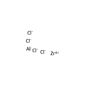 [Al].[Cl-].[Cl-].[Cl-].[Cl-].[Zr+4]